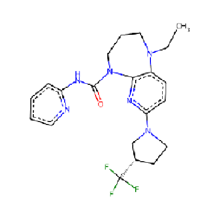 CCN1CCCN(C(=O)Nc2ccccn2)c2nc(N3CC[C@H](C(F)(F)F)C3)ccc21